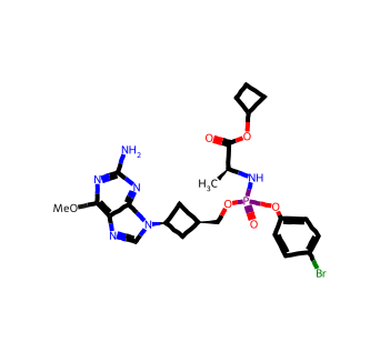 COc1nc(N)nc2c1ncn2[C@H]1C[C@@H](COP(=O)(N[C@@H](C)C(=O)OC2CCC2)Oc2ccc(Br)cc2)C1